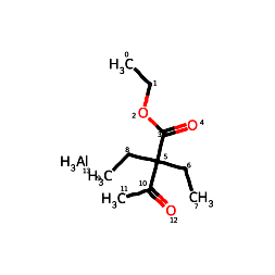 CCOC(=O)C(CC)(CC)C(C)=O.[AlH3]